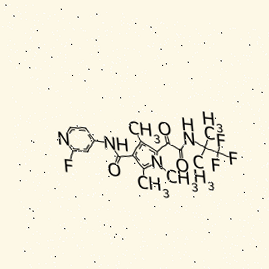 Cc1c(C(=O)Nc2ccnc(F)c2)c(C)n(C)c1C(=O)C(=O)NC(C)(C)C(F)(F)F